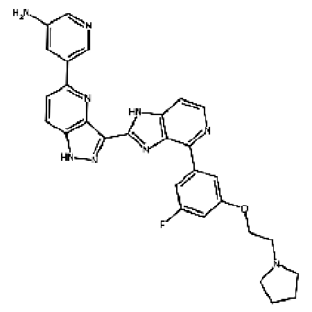 Nc1cncc(-c2ccc3[nH]nc(-c4nc5c(-c6cc(F)cc(OCCN7CCCC7)c6)nccc5[nH]4)c3n2)c1